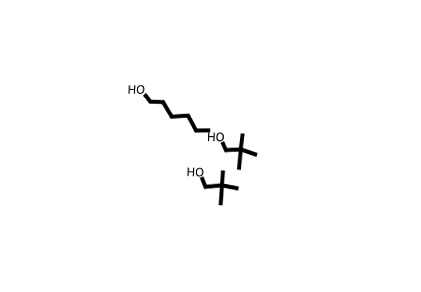 CC(C)(C)CO.CC(C)(C)CO.CCCCCCO